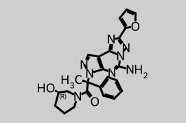 CC(C(=O)N1CCC[C@@H](O)C1)(c1ccccc1)n1ncc2c1nc(N)n1nc(-c3ccco3)nc21